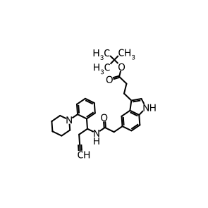 C#CCC(NC(=O)Cc1ccc2[nH]cc(CCC(=O)OC(C)(C)C)c2c1)c1ccccc1N1CCCCC1